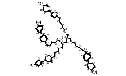 N#Cc1ccc(-c2ccc(CCCCCOCC(COCCCCCc3ccc(-c4ccc(C#N)cc4)cc3)(COCCCCCc3ccc(-c4ccc(C#N)cc4)cc3)COCCCCCc3ccc(-c4ccc(C#N)cc4)cc3)cc2)cc1